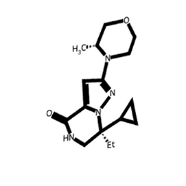 CC[C@]1(C2CC2)CNC(=O)c2cc(N3CCOC[C@H]3C)nn21